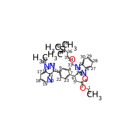 CCOC(=O)CC(c1ccc(-c2nn(CC)c3cccnc23)cc1)c1nc2ccccc2n1COCC[Si](C)(C)C